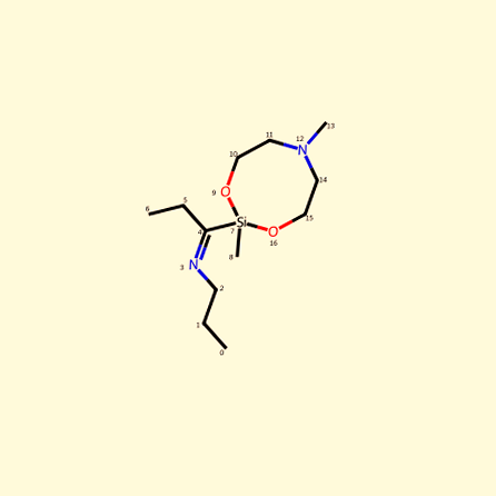 CCC/N=C(/CC)[Si]1(C)OCCN(C)CCO1